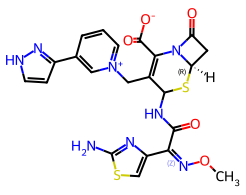 CO/N=C(\C(=O)NC1S[C@@H]2CC(=O)N2C(C(=O)[O-])=C1C[n+]1cccc(-c2cc[nH]n2)c1)c1csc(N)n1